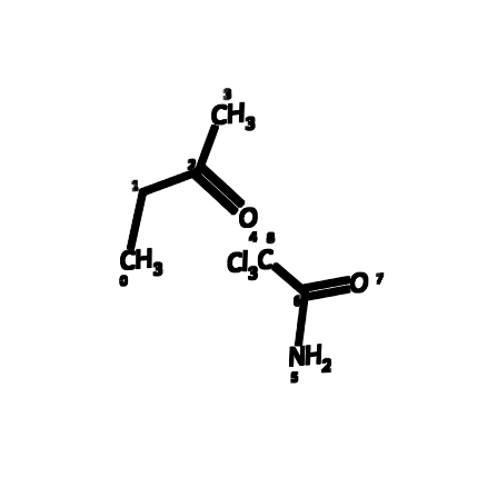 CCC(C)=O.NC(=O)C(Cl)(Cl)Cl